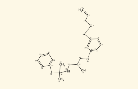 C=CCOCc1cccc(OCC(O)CNC(C)(C)Cc2ccccc2)c1